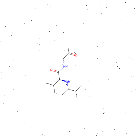 CC(=O)CNC(=O)[C@@H](NC(C)C(C)C)C(C)C